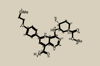 COCCOc1ccc(-c2cc(C(N)=O)c3ncnc(N[C@@H]4CN(C(=O)OC(C)(C)C)CC[C@H]4F)c3n2)cc1